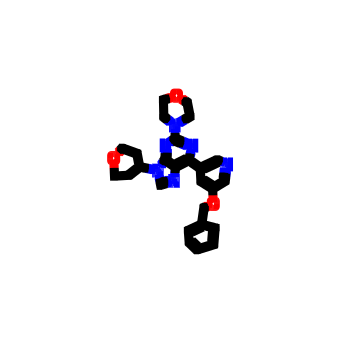 c1ccc(COc2cncc(-c3nc(N4CCOCC4)nc4c3ncn4C3CCOCC3)c2)cc1